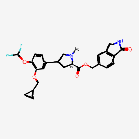 CC(=O)N1CC(c2ccc(OC(F)F)c(OCC3CC3)c2)C[C@@H]1C(=O)OCc1ccc2c(c1)CNC2=O